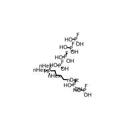 CCCCCCCCCCCCCC[PH](CCCCCC)(CCCCCC)CCCCCC.OP(O)F.OP(O)F.OP(O)F.OP(O)F.OP(O)F.OP(O)F